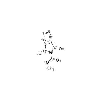 COC(=O)N1C(=O)C2C3C=CC(C3)C2C1=O